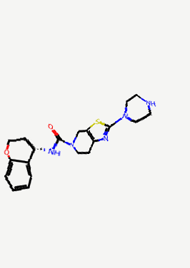 O=C(N[C@H]1CCOc2ccccc21)N1CCc2nc(N3CCNCC3)sc2C1